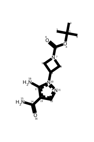 CC(C)(C)OC(=O)N1CC(n2ncc(C(N)=O)c2N)C1